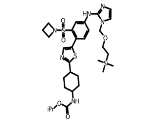 CC(C)OC(=O)NC1CCC(c2ncc(-c3ccc(Nc4nccn4COCC[Si](C)(C)C)cc3S(=O)(=O)N3CCC3)s2)CC1